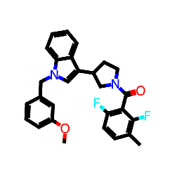 COc1cccc(Cn2cc(C3CCN(C(=O)c4c(F)ccc(C)c4F)C3)c3ccccc32)c1